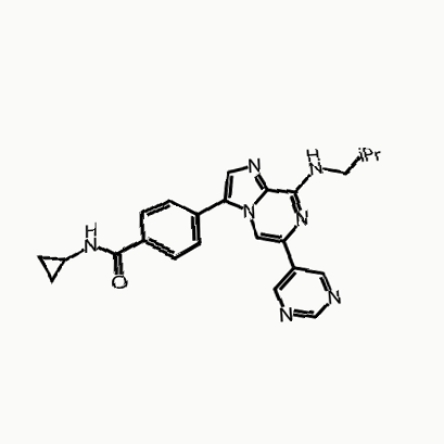 CC(C)CNc1nc(-c2cncnc2)cn2c(-c3ccc(C(=O)NC4CC4)cc3)cnc12